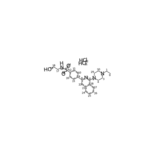 CCN1CCN(c2nc(-c3ccc(S(=O)(=O)NCCO)cc3)cc3ccccc23)CC1.Cl.Cl